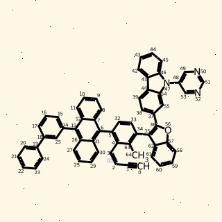 C#C/C=C\c1c(-c2c3ccccc3c(-c3cccc(-c4ccccc4)c3)c3ccccc23)ccc(-c2c(-c3ccc4c5ccccc5n(-c5cncnc5)c4c3)oc3ccccc23)c1C